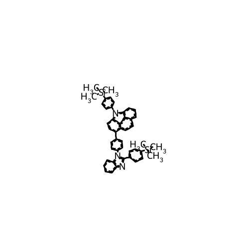 C[Si](C)(C)c1ccc(-c2nc3ccccc3n2-c2ccc(-c3ccc4c5c3ccc3cccc(c35)n4-c3ccc([Si](C)(C)C)cc3)cc2)cc1